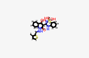 Cc1ccsc1CNn1c(=O)c(C2=NS(O)(O)c3ccccc3N2)c(O)c2ccccc21